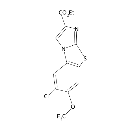 CCOC(=O)c1cn2c(n1)sc1cc(OC(F)(F)F)c(Cl)cc12